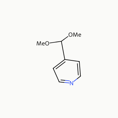 COC(OC)c1ccncc1